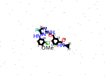 COc1ccc(Nc2nc(NOCc3cccc(C(=O)NC4CC4)c3)ncc2F)cc1Cl